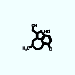 CN1CCc2c(Cl)ccc3sc(CO)c(c23)C1.Cl